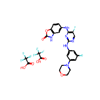 O=C(O)C(F)(F)F.O=C(O)C(F)(F)F.O=c1[nH]c2cc(Nc3nc(Nc4cc(F)cc(N5CCOCC5)c4)ncc3F)ccc2o1